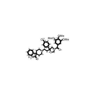 COc1cc(C(=O)N2COC(CCN3CCC(C(N)=O)(c4ccccc4)CC3)(c3ccc(Cl)cc3)C2)cc(OC)c1OC